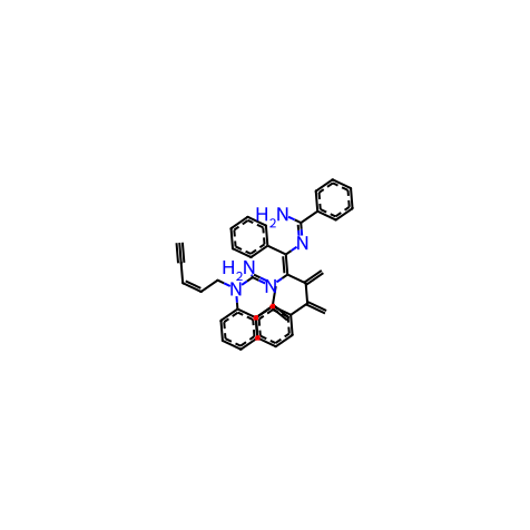 C#C/C=C\CN(/C(N)=N/C(C(=C)C(=C)c1ccccc1)=C(/N=C(\N)c1ccccc1)c1ccccc1)c1ccccc1C(=C)C